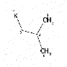 CC(C)[CH2][K]